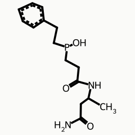 CC(CC(N)=O)NC(=O)CCP(O)CCc1ccccc1